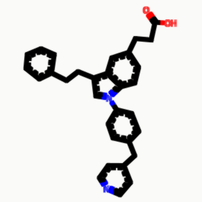 O=C(O)CCc1ccc2c(c1)c(CCc1ccccc1)cn2-c1ccc(Cc2ccncc2)cc1